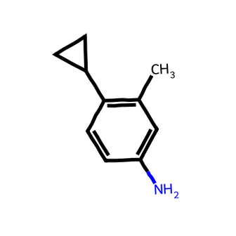 Cc1cc(N)ccc1C1CC1